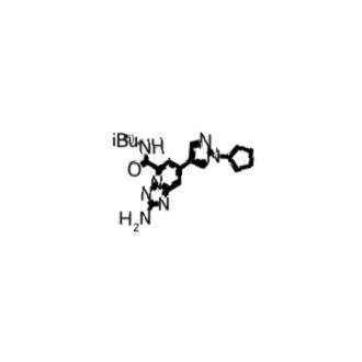 CC[C@H](C)NC(=O)c1cc(-c2cnn(C3CCCC3)c2)cc2nc(N)nn12